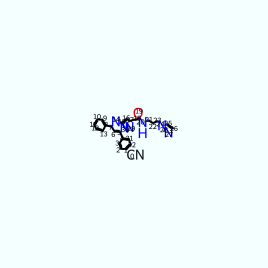 N#Cc1ccc(-c2cc(-c3ccccc3)nc3cc(C(=O)NCCCn4ccnc4)nn23)cc1